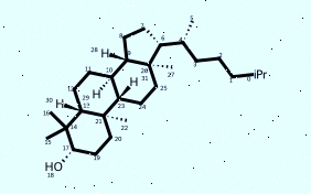 CC(C)CCC[C@@H](C)[C@H]1CC[C@H]2[C@@H]3CC[C@H]4C(C)(C)[C@@H](O)CC[C@]4(C)[C@H]3CC[C@]12C